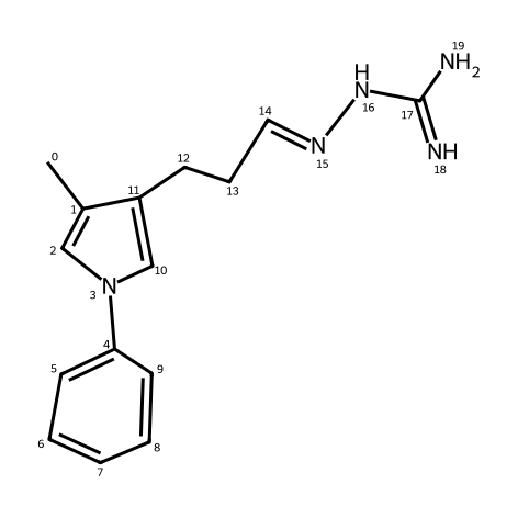 Cc1cn(-c2ccccc2)cc1CCC=NNC(=N)N